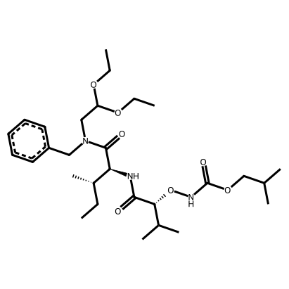 CCOC(CN(Cc1ccccc1)C(=O)[C@@H](NC(=O)[C@H](ONC(=O)OCC(C)C)C(C)C)[C@@H](C)CC)OCC